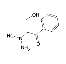 CO.N#CN(N)CC(=O)c1ccccc1